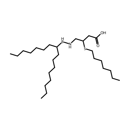 CCCCCCCCC(BNCC(CC(=O)O)SCCCCCCC)CCCCCCC